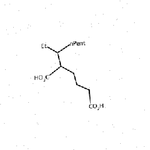 CCCCCC(CC)C(CCCC(=O)O)C(=O)O